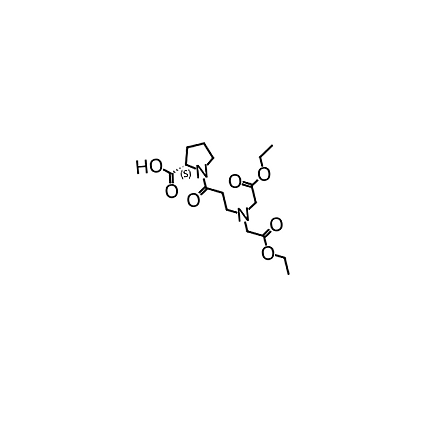 CCOC(=O)CN(CCC(=O)N1CCC[C@H]1C(=O)O)CC(=O)OCC